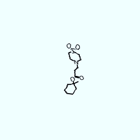 CC1(OC(=O)CCN2CCS(=O)(=O)CC2)CCCCC1